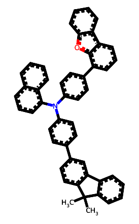 CC1(C)c2ccccc2-c2cc(-c3ccc(N(c4ccc(-c5cccc6c5oc5ccccc56)cc4)c4cccc5ccccc45)cc3)ccc21